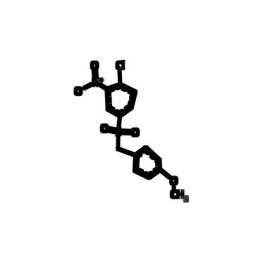 COc1ccc(CS(=O)(=O)c2ccc(Cl)c([N+](=O)[O-])c2)cc1